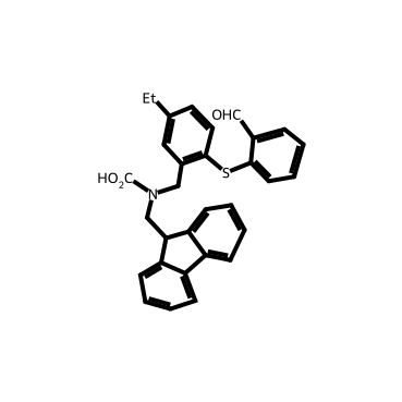 CCc1ccc(Sc2ccccc2C=O)c(CN(CC2c3ccccc3-c3ccccc32)C(=O)O)c1